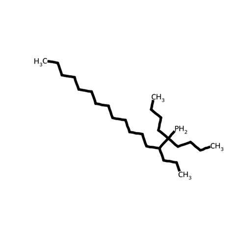 CCCCCCCCCCCCCC(CCC)C(P)(CCCC)CCCC